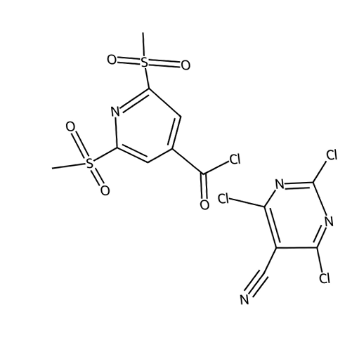 CS(=O)(=O)c1cc(C(=O)Cl)cc(S(C)(=O)=O)n1.N#Cc1c(Cl)nc(Cl)nc1Cl